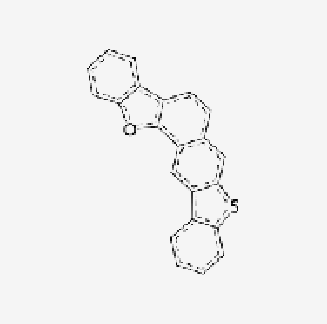 c1ccc2c(c1)oc1c3cc4c(cc3ccc21)sc1ccccc14